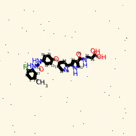 Cc1ccc(F)c(NC(=O)Nc2ccc(Oc3ccnc(-c4cc(C(=O)NCCC(O)O)c[nH]4)c3)cc2)c1